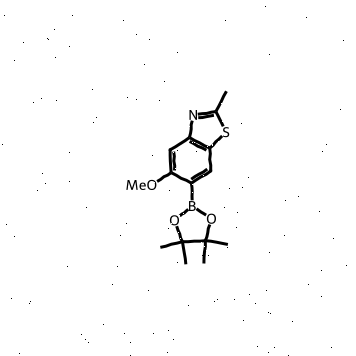 COc1cc2nc(C)sc2cc1B1OC(C)(C)C(C)(C)O1